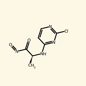 C[C@H](Nc1ccnc(Cl)n1)C(=O)N=O